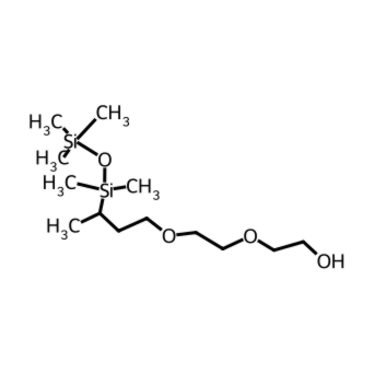 CC(CCOCCOCCO)[Si](C)(C)O[Si](C)(C)C